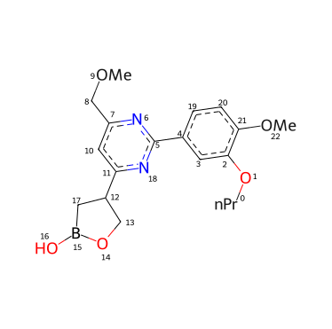 CCCOc1cc(-c2nc(COC)cc(C3COB(O)C3)n2)ccc1OC